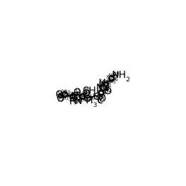 COc1cc2c(cc1OCCCOc1cc3c(cc1OC)C(=O)N1C=C(c4ccc5c(c4)OCO5)C[C@H]1C=N3)N=C[C@@H]1CC(c3ccc(N)cc3)=CN1C2=O